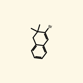 CC1(C)Cc2ccccc2C=C1Br